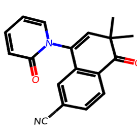 CC1(C)C=C(n2ccccc2=O)c2cc(C#N)ccc2C1=O